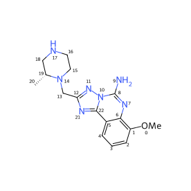 COc1cccc2c1nc(N)n1nc(CN3CCNC[C@H]3C)nc21